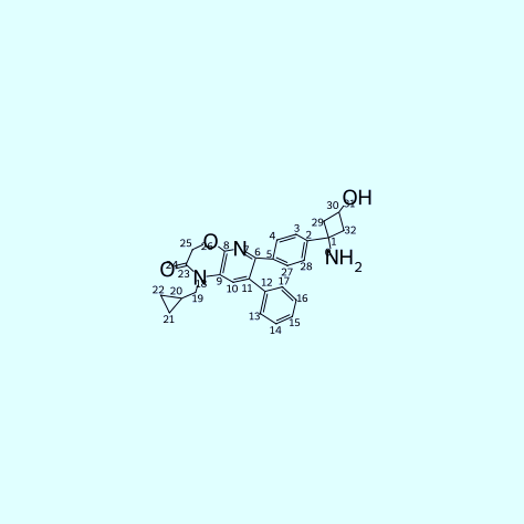 NC1(c2ccc(-c3nc4c(cc3-c3ccccc3)N(CC3CC3)C(=O)CO4)cc2)CC(O)C1